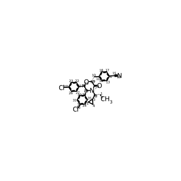 CC[C@H](C1CC1)N1C(=O)[C@@H](Cc2ccc(C#N)cc2)O[C@H](c2ccc(Cl)cc2)[C@@H]1c1ccc(Cl)cc1